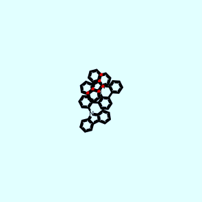 c1ccc(-n2c3ccccc3c3ccccc32)c(-c2cccc(-c3ccccc3-n3c4ccccc4c4ccccc43)c2-n2c3ccccc3c3ccccc32)c1